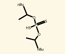 CCCCC(C)OP(=S)(S)OC(C)CCCC